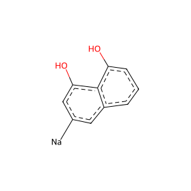 Oc1cccc2c[c]([Na])cc(O)c12